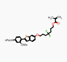 C=C(C)C(=O)OCCCC(F)(F)CCCOc1ccc2cc(-c3ccc(CCCCC)cc3OC)sc2c1